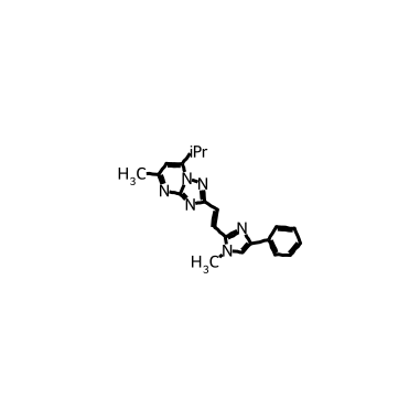 Cc1cc(C(C)C)n2nc(C=Cc3nc(-c4ccccc4)cn3C)nc2n1